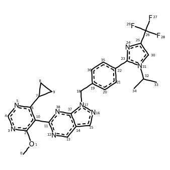 COc1ncnc(C2CC2)c1-c1ncc2cnn(Cc3ccc(-c4nc(C(F)(F)F)cn4C(C)C)cc3)c2n1